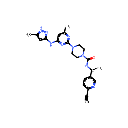 C#Cc1ccc([C@H](C)NC(=O)N2CCN(c3nc(C)cc(Nc4cc(C)[nH]n4)n3)CC2)cn1